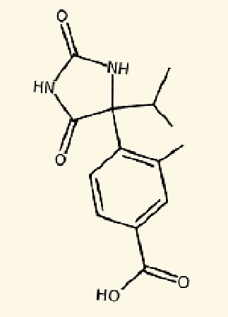 Cc1cc(C(=O)O)ccc1C1(C(C)C)NC(=O)NC1=O